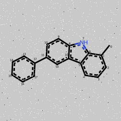 Cc1cccc2c1[nH]c1ccc(-c3ccccc3)cc12